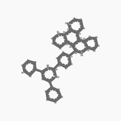 c1ccc(-c2cc(-c3ccccc3)nc(-c3ccc(-c4nc5ccccc5c5c6cccnc6c6ncccc6c45)cc3)n2)cc1